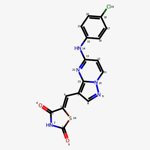 O=C1NC(=O)/C(=C/c2cnn3ccc(Nc4ccc(Cl)cc4)nc23)S1